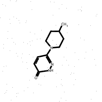 CC1CCN(c2ccc(=O)[nH]n2)CC1